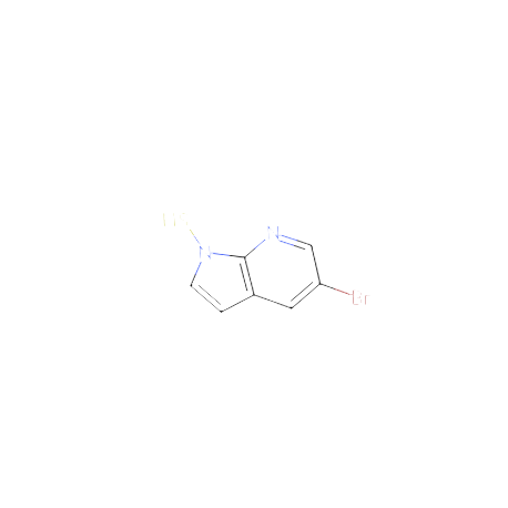 Sn1ccc2cc(Br)cnc21